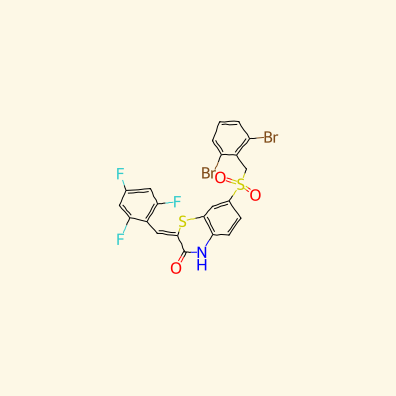 O=C1Nc2ccc(S(=O)(=O)Cc3c(Br)cccc3Br)cc2S/C1=C\c1c(F)cc(F)cc1F